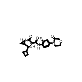 NC(=O)[C@@H](NC(C1CCC1)C1CC1)C(=O)Nc1ccc(N2CCOCC2=O)cc1F